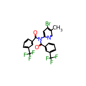 Cc1cnc(N(C(=O)c2cccc(C(F)(F)F)c2)C(=O)c2cccc(C(F)(F)F)c2)cc1Br